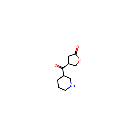 O=C1C[C@H](C(=O)[C]2CCCNC2)CO1